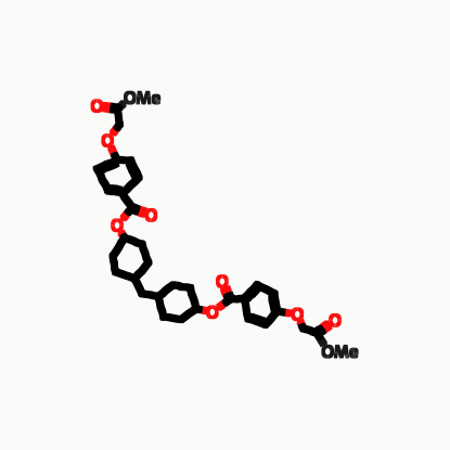 COC(=O)COc1ccc(C(=O)OC2CCC(CC3CCC(OC(=O)c4ccc(OCC(=O)OC)cc4)CC3)CC2)cc1